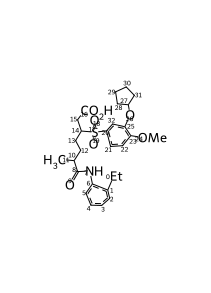 CCc1ccccc1NC(=O)C(C)CCC(CC(=O)O)S(=O)(=O)c1ccc(OC)c(OC2CCCC2)c1